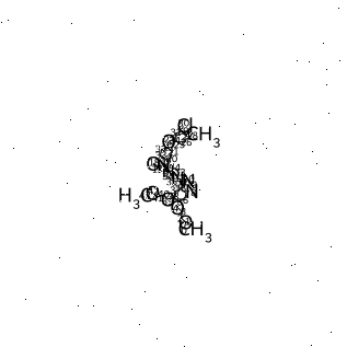 COCCOc1cc2ncnc(N3CCN(N(C=O)c4ccc(Oc5ccc(C)c(Cl)c5)cc4)CC3)c2cc1OCCOC